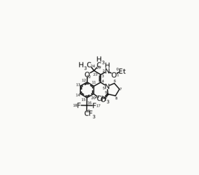 CCONC1=C(N2CCCC2=O)c2c(ccc(C(F)(F)C(F)(F)F)c2C)OC1(C)C